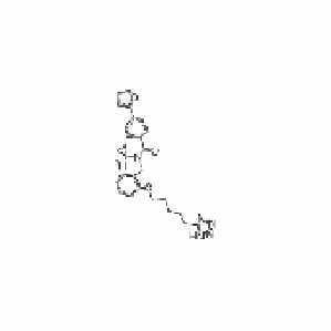 [2H]C1(N(Cc2ccccc2OCCCCCc2nnn[nH]2)C(=O)c2ccc(-c3ccco3)cc2)CC1